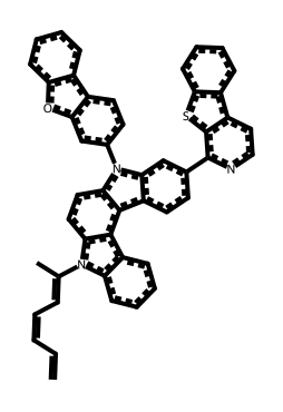 C=C/C=C\C=C(/C)n1c2ccccc2c2c3c4ccc(-c5nccc6c5sc5ccccc56)cc4n(-c4ccc5c(c4)oc4ccccc45)c3ccc21